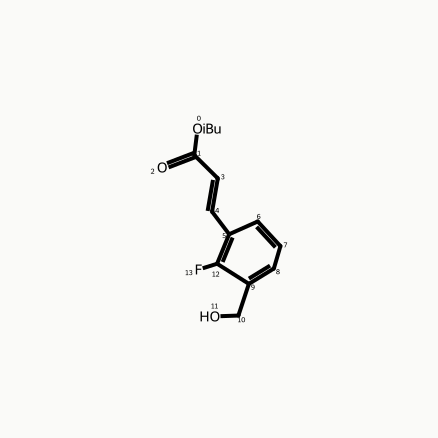 CC(C)COC(=O)/C=C/c1cccc(CO)c1F